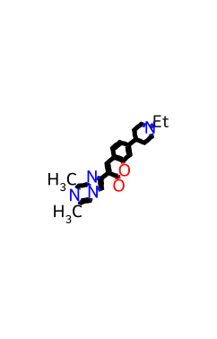 CCN1CCC(c2ccc3cc(-c4cn5cc(C)nc(C)c5n4)c(=O)oc3c2)CC1